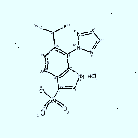 Cl.O=S(=O)(Cl)c1c[nH]c2c(-n3nccn3)c(C(F)F)ccc12